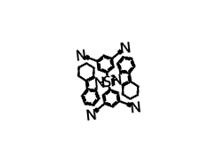 N#Cc1cc(C#N)cc([Si](c2cc(C#N)cc(C#N)c2)(n2c3c(c4ccccc42)CCCC3)n2c3c(c4ccccc42)CCCC3)c1